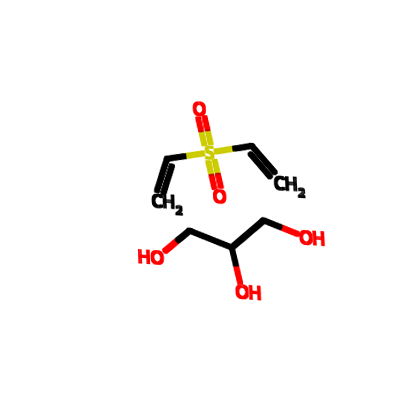 C=CS(=O)(=O)C=C.OCC(O)CO